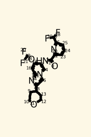 O=C(Nc1cn2cc(C3CCOCC3)nc2cc1OC(F)F)c1cccc(C(F)F)n1